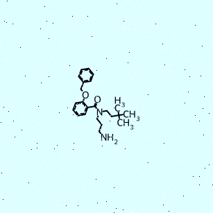 CC(C)(C)CCN(CCCN)C(=O)c1ccccc1OCc1ccccc1